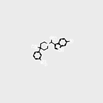 OC(c1c[nH]c2cc(Cl)ccc12)N1CCC(O)(c2cccc(C(F)(F)F)c2)CC1